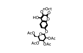 CCCCCCCCOc1c(O)c2ccc(O[C@H]3O[C@H](COC(C)=O)[C@@H](OC(C)=O)[C@H](OC(C)=O)[C@@H]3OC(C)=O)cc2oc1=O